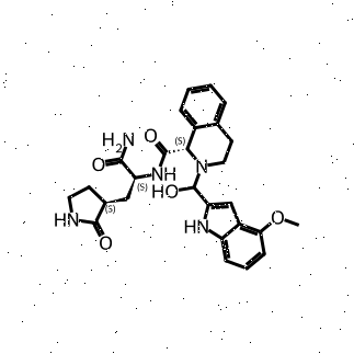 COc1cccc2[nH]c(C(O)N3CCc4ccccc4[C@H]3C(=O)N[C@@H](C[C@@H]3CCNC3=O)C(N)=O)cc12